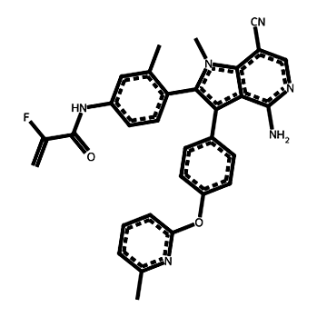 C=C(F)C(=O)Nc1ccc(-c2c(-c3ccc(Oc4cccc(C)n4)cc3)c3c(N)ncc(C#N)c3n2C)c(C)c1